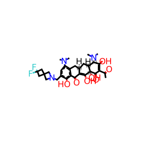 CC(=O)C1=C(O)[C@@H](N(C)C)[C@@H]2C[C@@H]3Cc4c(N(C)C)cc(CN5CC6(C5)CC(F)(F)C6)c(O)c4C(=O)C3=C(O)[C@]2(O)C1=O